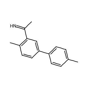 CC(=N)c1cc(-c2ccc(C)cc2)ccc1C